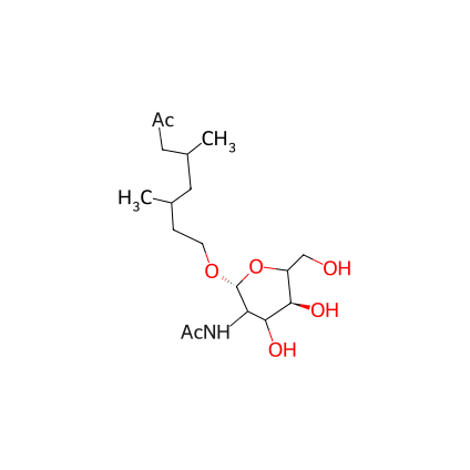 CC(=O)CC(C)CC(C)CCO[C@@H]1OC(CO)[C@@H](O)C(O)C1NC(C)=O